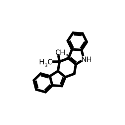 CC1(C)c2c([nH]c3ccccc23)CC2=Cc3ccccc3C21